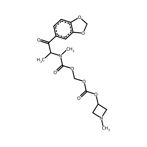 CC(C(=O)c1ccc2c(c1)OCO2)N(C)C(=O)OCOC(=O)OC1CN(C)C1